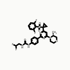 C[C@H]1COCCN1c1cc(C2(S(=O)(=O)c3c(F)cccc3F)CC2)nc(-c2ccc(NC(=O)NCC(F)F)cc2)n1